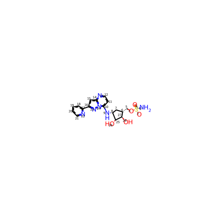 NS(=O)(=O)OC[C@H]1C[C@@H](Nc2ccnc3cc(-c4ccccn4)nn23)[C@H](O)[C@@H]1O